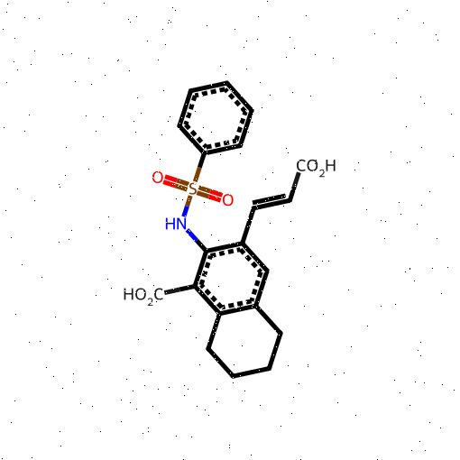 O=C(O)C=Cc1cc2c(c(C(=O)O)c1NS(=O)(=O)c1ccccc1)CCCC2